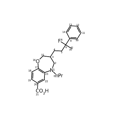 CCCN1CC(CCC(F)(F)c2ccccc2)COc2ccc(C(=O)O)cc21